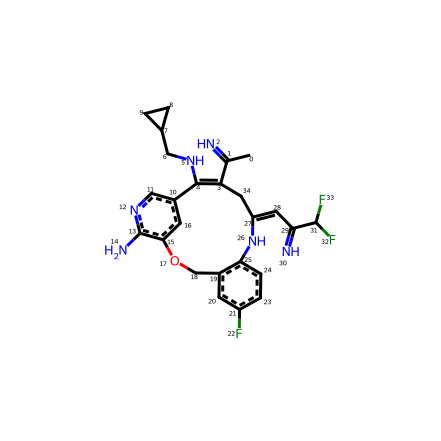 CC(=N)/C1=C(\NCC2CC2)c2cnc(N)c(c2)OCc2cc(F)ccc2N/C(=C\C(=N)C(F)F)C1